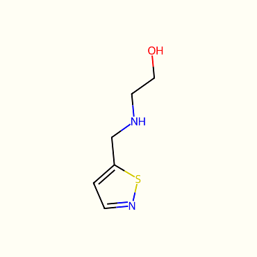 OCCNCc1ccns1